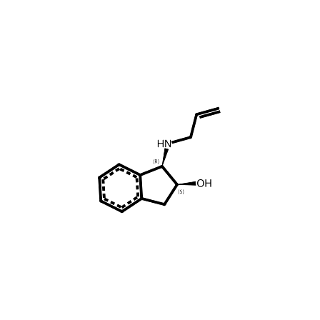 C=CCN[C@@H]1c2ccccc2C[C@@H]1O